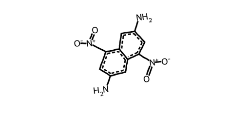 Nc1cc([N+](=O)[O-])c2cc(N)cc([N+](=O)[O-])c2c1